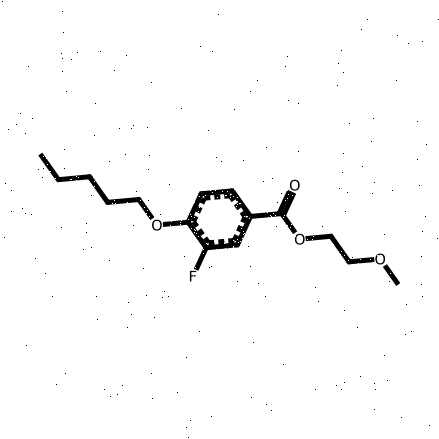 CCCCCOc1ccc(C(=O)OCCOC)cc1F